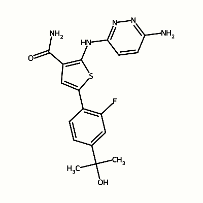 CC(C)(O)c1ccc(-c2cc(C(N)=O)c(Nc3ccc(N)nn3)s2)c(F)c1